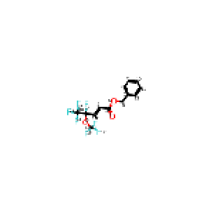 C/C(=C\C(=O)OCc1ccccc1)C(F)(OC(F)(F)F)C(F)(F)F